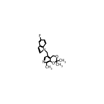 Cc1ncc(Cn2ccc3cc(F)ccc32)c2c1OC(C)(C)OC2